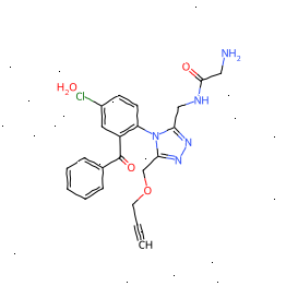 C#CCOCc1nnc(CNC(=O)CN)n1-c1ccc(Cl)cc1C(=O)c1ccccc1.O